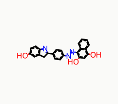 Oc1ccc2c(c1)CC(c1ccc(/N=N/c3c(O)cc(O)c4ccccc34)cc1)=N2